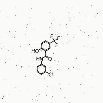 O=C(Nc1cccc(Cl)c1)c1cc(C(F)(F)F)ccc1O